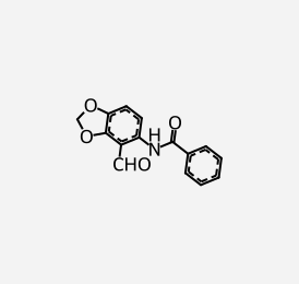 O=Cc1c(NC(=O)c2ccccc2)ccc2c1OCO2